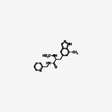 Cc1cc(CC(NC(=O)O)C(=O)NCc2ccccn2)cc2cn[nH]c12